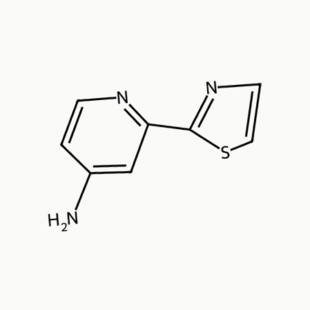 Nc1ccnc(-c2nccs2)c1